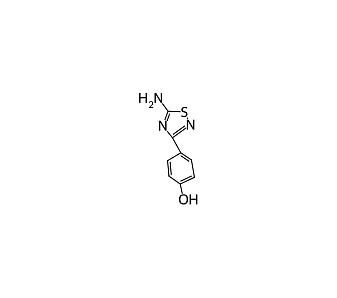 Nc1nc(-c2ccc(O)cc2)ns1